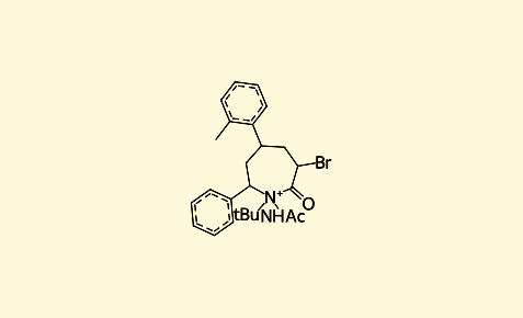 CC(=O)N[N+]1(C(C)(C)C)C(=O)C(Br)CC(c2ccccc2C)CC1c1ccccc1